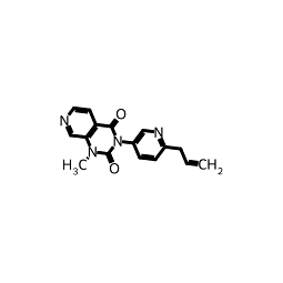 C=CCc1ccc(-n2c(=O)c3ccncc3n(C)c2=O)cn1